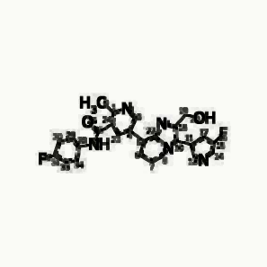 Cc1ncc(-c2cccn3c(-c4cncc(F)c4)c(CO)nc23)cc1C(=O)Nc1ccc(F)cc1